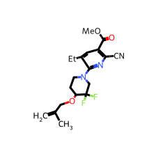 C=C(C)COC1CCN(c2nc(C#N)c(C(=O)OC)cc2CC)CC1(F)F